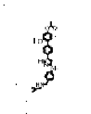 CC(=O)Oc1ccc(-c2ccc(-c3cc(Nc4ccc(CNCC5CC5)cc4)n[nH]3)cc2)c(O)c1